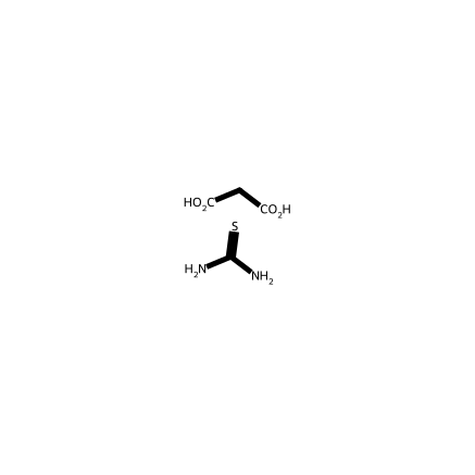 NC(N)=S.O=C(O)CC(=O)O